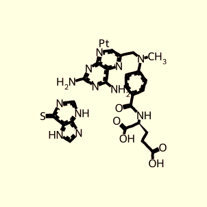 CN(Cc1cnc2nc(N)nc(N)c2n1)c1ccc(C(=O)N[C@@H](CCC(=O)O)C(=O)O)cc1.S=c1nc[nH]c2nc[nH]c12.[Pt]